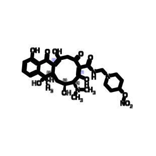 CN(C)[C@@H]1/C(O)=C(/C(=O)NCN2CCC(O[N+](=O)[O-])CC2)C(=O)C/C(O)=C2/C(=O)c3c(O)cccc3C(C)(O)[C@H]2C[C@@H]1O